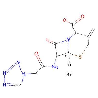 C=C1CS[C@H]2C(NC(=O)Cn3cnnn3)C(=O)N2C1C(=O)[O-].[Na+]